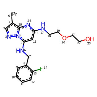 CC(C)c1cnn2c(NCc3ccccc3F)cc(NCCOCCO)nc12